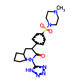 CN1CCN(S(=O)(=O)c2ccc(C(CC3CCCC3)C(=O)Nc3nnn[nH]3)cc2)CC1